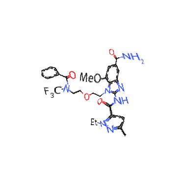 CCn1nc(C)cc1C(=O)Nc1nc2cc(C(N)=O)cc(OC)c2n1CCOCCN(C(=O)c1ccccc1)C(F)(F)F